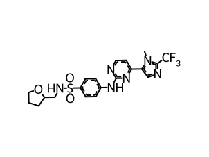 Cn1c(-c2ccnc(Nc3ccc(S(=O)(=O)NCC4CCCO4)cc3)n2)cnc1C(F)(F)F